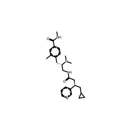 CNC(=O)c1ccc(C[C@@H](CNC(=O)C[C@@H](CC2CC2)c2cccnc2)N(C)C)c(C)c1